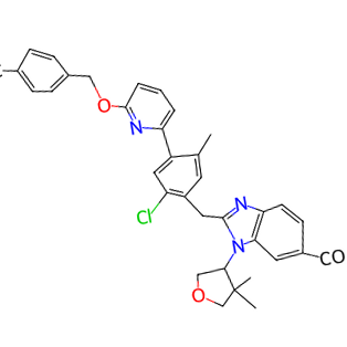 Cc1cc(Cc2nc3ccc(C(=O)O)cc3n2C2COCC2(C)C)c(Cl)cc1-c1cccc(OCc2ccc(C#N)cc2)n1